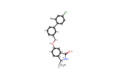 Cc1cc(Cl)ccc1-c1cccc(COc2ccc3c(c2)C(=O)NC3C(=O)O)c1